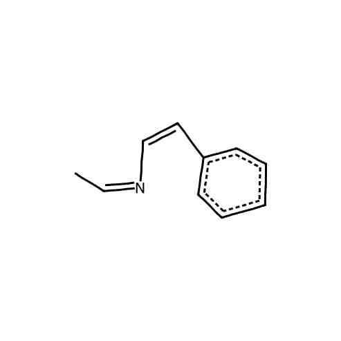 C/C=N\C=C/c1ccccc1